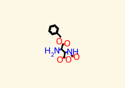 NC(C(=O)OCc1ccccc1)C1NC(=O)OC1=O